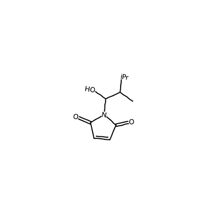 CC(C)C(C)C(O)N1C(=O)C=CC1=O